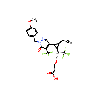 CCC1C(c2cnn(Cc3ccc(OC)cc3)c(=O)c2C(F)(F)F)C1[C@@H](COCCC(=O)O)C(F)(F)F